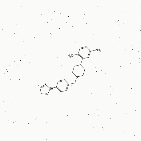 Cc1ccc(N)cc1C1CCN(Cc2ccc([SH]3C=CC=C3)cc2)CC1